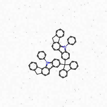 c1ccc(-n2c3ccc(C4(c5ccc6c(c5)c5ccc7c(c5n6-c5ccccc5)-c5ccccc5C7)c5ccccc5-c5ccccc54)cc3c3ccc4c(c32)-c2ccccc2C4)cc1